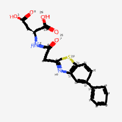 O=C(O)C[C@H](NC(=O)Cc1nc2cc(-c3ccccc3)ccc2s1)C(=O)O